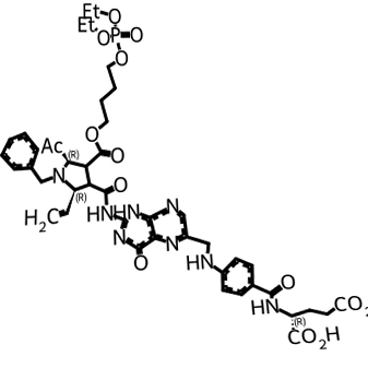 C=C[C@@H]1C(C(=O)Nc2nc(=O)c3nc(CNc4ccc(C(=O)N[C@H](CCC(=O)O)C(=O)O)cc4)cnc3[nH]2)C(C(=O)OCCCCOP(=O)(OCC)OCC)[C@H](C(C)=O)N1Cc1ccccc1